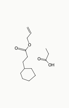 C=CCOC(=O)CCC1CCCCC1.CCC(=O)O